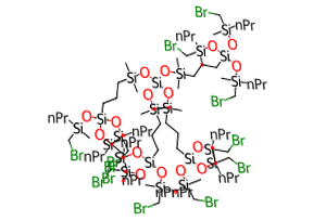 CCC[Si](C)(CBr)O[Si](CCC[Si](C)(C)O[Si](O[Si](C)(C)CCC[Si](O[Si](C)(CBr)CCC)(O[Si](C)(CBr)CCC)O[Si](C)(CBr)CCC)(O[Si](C)(C)CCC[Si](O[Si](C)(CBr)CCC)(O[Si](C)(CBr)CCC)O[Si](C)(CBr)CCC)O[Si](C)(C)CCC[Si](O[Si](C)(CBr)CCC)(O[Si](C)(CBr)CCC)O[Si](C)(CBr)CCC)(O[Si](C)(CBr)CCC)O[Si](C)(CBr)CCC